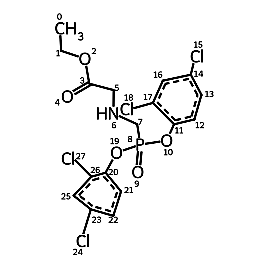 CCOC(=O)CNCP(=O)(Oc1ccc(Cl)cc1Cl)Oc1ccc(Cl)cc1Cl